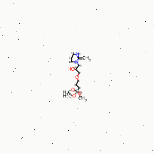 CO[Si](CCCOCC(O)CN1CCCN=C1C)(OC)OC